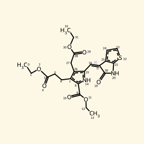 CCOC(=O)CCc1c(C(=O)OCC)[nH]c(/C=C2\C(=O)Nc3sccc32)c1CC(=O)OCC